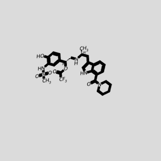 C[C@H](Cc1c[nH]c2c(C(=O)N3CCCCC3)cccc12)NC[C@H](OC(=O)C(F)(F)F)c1ccc(O)c(NS(C)(=O)=O)c1